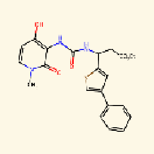 CCOC(=O)CC(NC(=O)Nc1c(O)ccn(C)c1=O)c1cc(-c2ccccc2)cs1